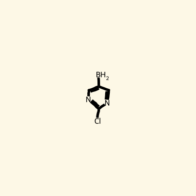 Bc1cnc(Cl)nc1